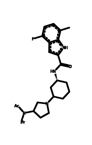 CC(=O)N(C(C)C)C1CCN(C2CCC[C@@H](NC(=O)c3cc4c(F)ccc(C)c4[nH]3)C2)C1